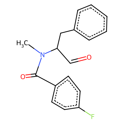 CN(C(=O)c1ccc(F)cc1)C(C=O)Cc1ccccc1